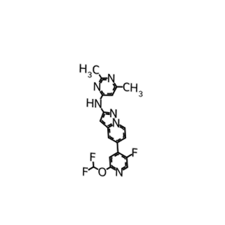 Cc1cc(Nc2cc3cc(-c4cc(OC(F)F)ncc4F)ccn3n2)nc(C)n1